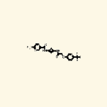 Cc1cnc(C(=O)NC23CC(NC(=O)COc4ccc(C(F)(F)F)nc4)(C2)C3)cn1